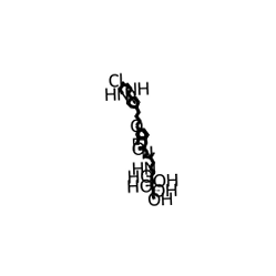 O=C(Cc1ccc(OCCCC2CCN(C3NCC(Cl)CN3)CC2)cc1F)N1CC(CNC[C@H](O)[C@@H](O)[C@H](O)[C@H](O)CO)C1